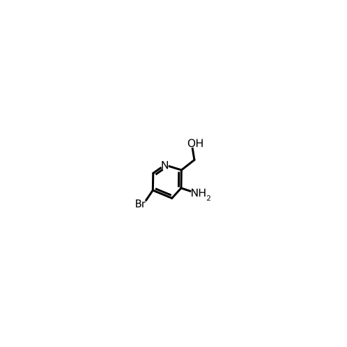 Nc1cc(Br)cnc1CO